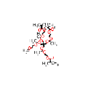 C=C(C)C(=O)OCCOC(C)OCC(COC(C)OCCOC)(COC(C)OCCOC(=O)C(=C)C)COC(C)OCCOC(=O)C(=C)C